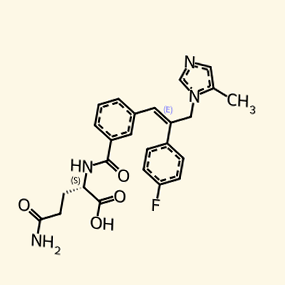 Cc1cncn1C/C(=C/c1cccc(C(=O)N[C@@H](CCC(N)=O)C(=O)O)c1)c1ccc(F)cc1